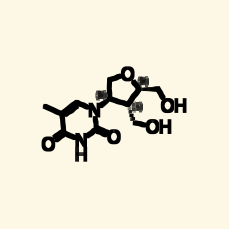 Cc1cn([C@H]2CO[C@@H](CO)[C@@H]2CO)c(=O)[nH]c1=O